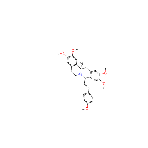 COc1ccc(/C=C/[C@@H]2c3cc(OC)c(OC)cc3C[C@@H]3c4cc(OC)c(OC)cc4CCN23)cc1